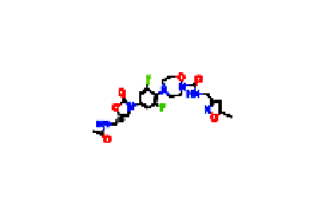 CC(=O)NC[C@H]1CN(c2cc(F)c(N3CCON(C(=O)NCc4cc(C)on4)CC3)c(F)c2)C(=O)O1